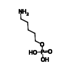 NCCCCCOP(=O)(O)O